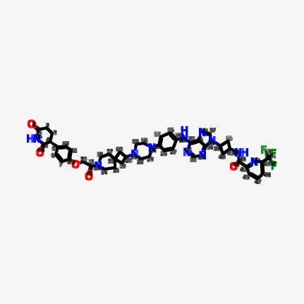 O=C1CC[C@@H](c2ccc(OCC(=O)N3CCC4(CC3)CC(N3CCN(c5ccc(Nc6ncnc7c6ncn7C6CC(NC(=O)c7cccc(C(F)(F)F)n7)C6)cc5)CC3)C4)cc2)C(=O)N1